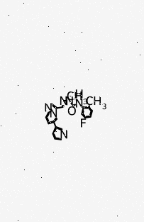 Cc1ccc(F)cc1NC(=O)N(C)/N=C/c1cnc2ccc(-c3cccnc3)cn12